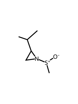 CC(C)C1CN1[S+](C)[O-]